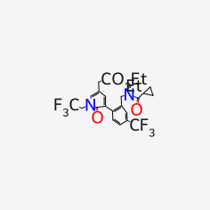 CCOC(=O)Cc1cc(-c2ccc(C(F)(F)F)cc2CN(CC)C(=O)C2CC2)c(=O)n(CC(F)(F)F)c1